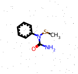 CSN(C(N)=O)c1ccccc1